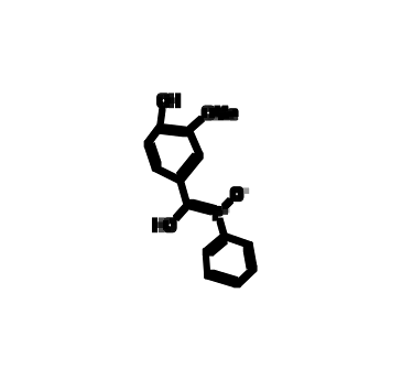 COc1cc(C(O)=[P+]([O-])c2ccccc2)ccc1O